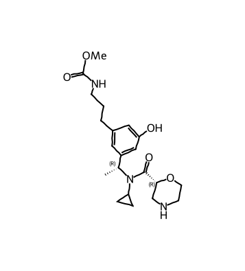 COC(=O)NCCCc1cc(O)cc([C@@H](C)N(C(=O)[C@H]2CNCCO2)C2CC2)c1